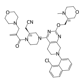 C=C(CN1CCOCC1)C(=O)N1CCN(c2nc(OC[C@@H]3COCCN3C)nc3c2CCN(c2cccc4cccc(Cl)c24)C3)C[C@@H]1CC#N